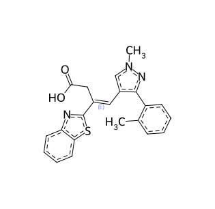 Cc1ccccc1-c1nn(C)cc1/C=C(\CC(=O)O)c1nc2ccccc2s1